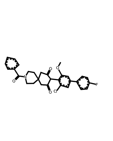 COc1cc(-c2ccc(F)cc2)cc(Cl)c1C1C(=O)CC2(CCN(C(=O)c3ccccc3)CC2)CC1=O